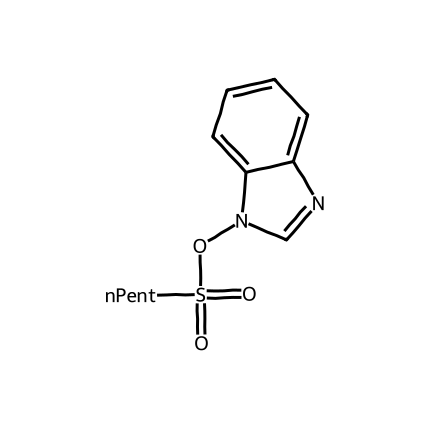 CCCCCS(=O)(=O)On1cnc2ccccc21